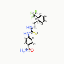 NC(=O)c1ccc(NC(=S)NCCc2ccccc2C(F)(F)F)cc1